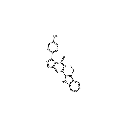 Cc1ccc(-c2csc3nc4n(c(=O)c23)CCc2c-4[nH]c3ccccc23)cc1